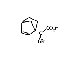 C1=CC2CCC1C2.CCCOC(=O)O